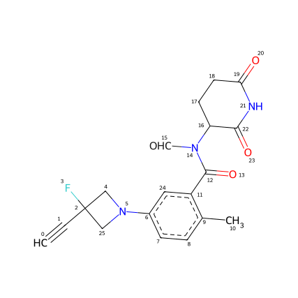 C#CC1(F)CN(c2ccc(C)c(C(=O)N(C=O)C3CCC(=O)NC3=O)c2)C1